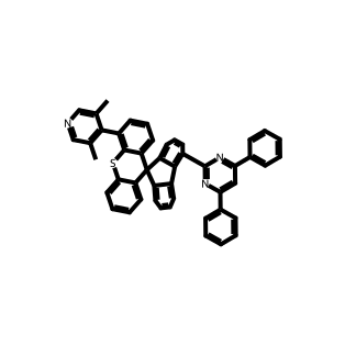 Cc1cncc(C)c1-c1cccc2c1Sc1ccccc1C21c2ccccc2-c2c(-c3nc(-c4ccccc4)cc(-c4ccccc4)n3)cccc21